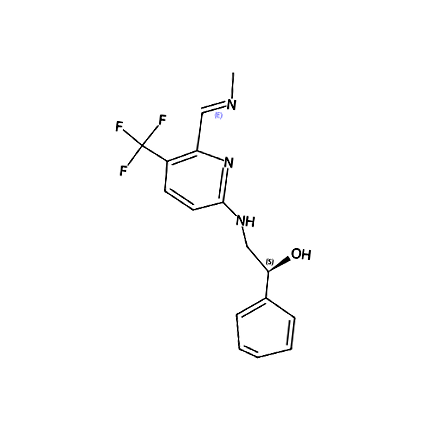 C/N=C/c1nc(NC[C@@H](O)c2ccccc2)ccc1C(F)(F)F